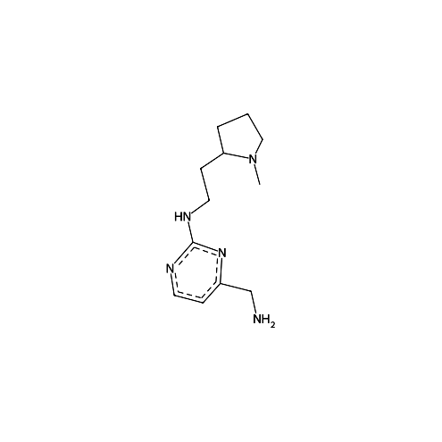 CN1CCCC1CCNc1nccc(CN)n1